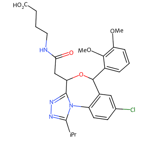 COc1cccc(C2OC(CC(=O)NCCCC(=O)O)c3nnc(C(C)C)n3-c3ccc(Cl)cc32)c1OC